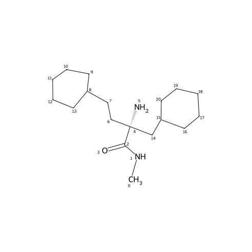 CNC(=O)[C@@](N)(CCC1CCCCC1)CC1CCCCC1